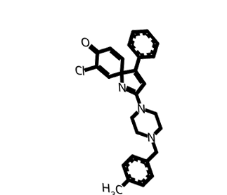 Cc1ccc(CN2CCN(C3=NC4(C=CC(=O)C(Cl)=C4)C(c4ccccc4)=C3)CC2)cc1